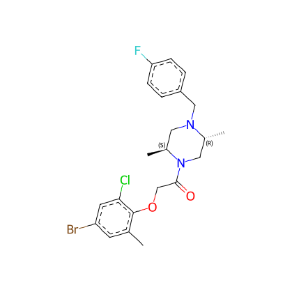 Cc1cc(Br)cc(Cl)c1OCC(=O)N1C[C@@H](C)N(Cc2ccc(F)cc2)C[C@@H]1C